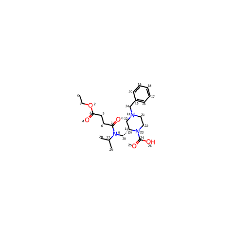 CCOC(=O)CCC(=O)N(C[C@@H]1CN(Cc2ccccc2)CCN1C(=O)O)C(C)C